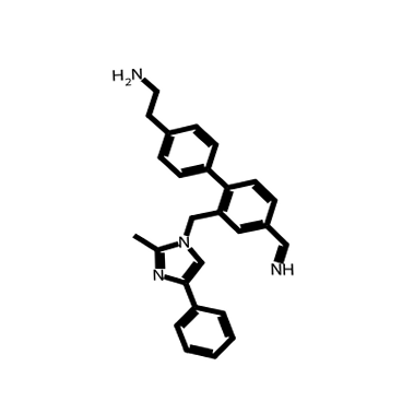 Cc1nc(-c2ccccc2)cn1Cc1cc(C=N)ccc1-c1ccc(CCN)cc1